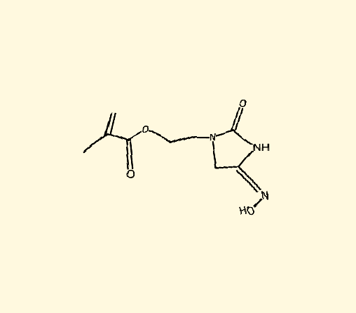 C=C(C)C(=O)OCCN1CC(=NO)NC1=O